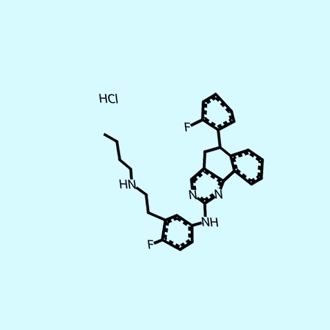 CCCCNCCc1cc(Nc2ncc3c(n2)-c2ccccc2C(c2ccccc2F)C3)ccc1F.Cl